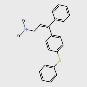 CCN(CC)CC=C(c1ccccc1)c1ccc(Sc2ccccc2)cc1